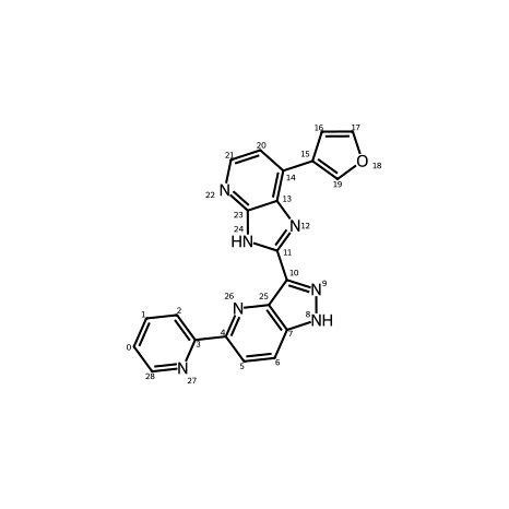 c1ccc(-c2ccc3[nH]nc(-c4nc5c(-c6ccoc6)ccnc5[nH]4)c3n2)nc1